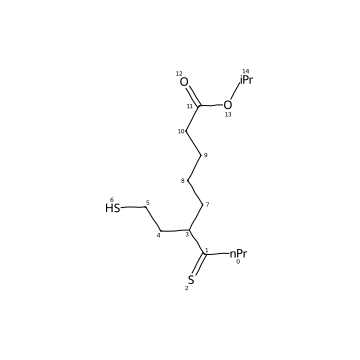 CCCC(=S)C(CCS)CCCCC(=O)OC(C)C